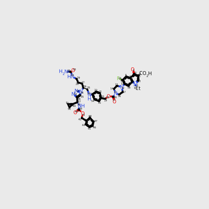 CCn1cc(C(=O)O)c(=O)c2cc(F)c(N3CCN(C(=O)OCc4ccc(NC[C@H](CCCNC(N)=O)n5cc([C@@H](NC(=O)OCc6ccccc6)C6CC6)nn5)cc4)CC3)cc21